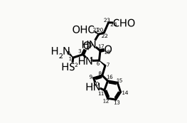 N[C@H](S)C(=O)N[C@H](Cc1c[nH]c2ccccc12)C(=O)N[C@@H](C=O)CCC=O